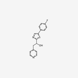 OC(Cc1ccncc1)c1ncc(-c2ccc(F)cc2)s1